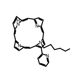 CCCCCCn1c2cc3nc(cc4ccc(cc5nc(cc1c(-c1ccccn1)c2)C=C5)[nH]4)C=C3